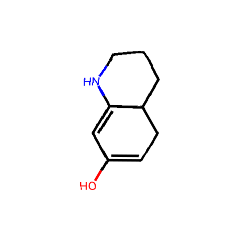 OC1=CCC2CCCNC2=C1